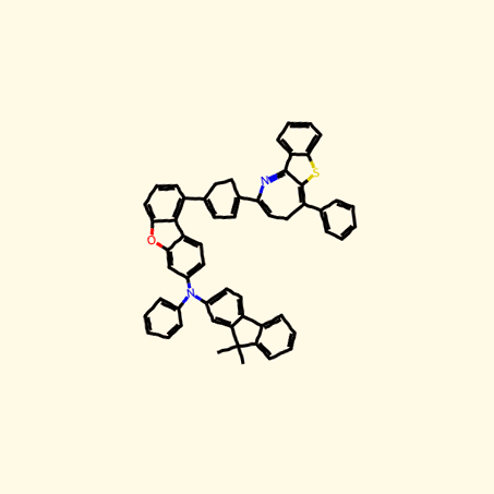 CC1(C)c2ccccc2-c2ccc(N(c3ccccc3)c3ccc4c(c3)oc3cccc(C5=CC=C(C6=CCC(c7ccccc7)=c7sc8ccccc8c7=N6)CC5)c34)cc21